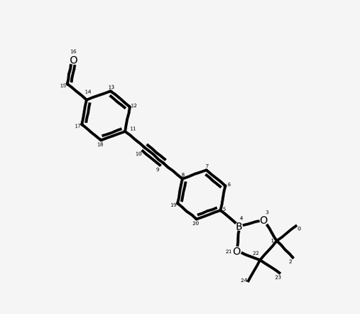 CC1(C)OB(c2ccc(C#Cc3ccc(C=O)cc3)cc2)OC1(C)C